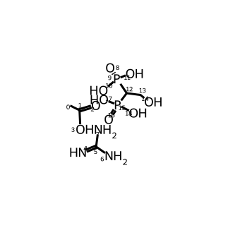 CC(=O)O.N=C(N)N.O=P(O)(O)C(CO)P(=O)(O)O